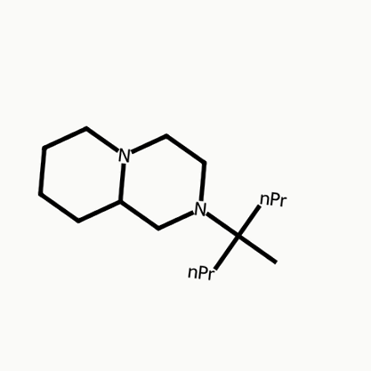 CCCC(C)(CCC)N1CCN2CCCCC2C1